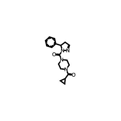 O=C(C1CC1)N1CCN(C(=O)N2N=CCC2c2ccccc2)CC1